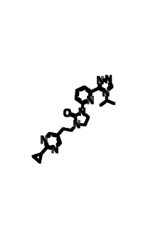 CC(C)n1cnnc1-c1cccc(N2CCN(CCc3cnc(C4CC4)nc3)C2=O)n1